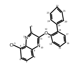 Cc1nc2c(Cl)cccc2nc1Oc1[c]cccc1-c1ccccc1